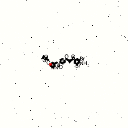 Nc1c(Br)cc(C(=O)C2CC2C(=O)N2CCC(N3Cc4cc(OCC5OCCO5)ccc4NC3=O)CC2)cc1Br